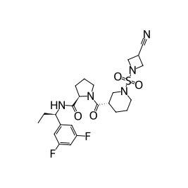 CC[C@@H](NC(=O)[C@H]1CCCN1C(=O)[C@H]1CCCN(S(=O)(=O)N2CC(C#N)C2)C1)c1cc(F)cc(F)c1